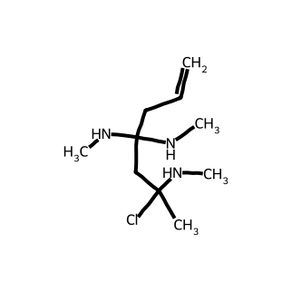 C=CCC(CC(C)(Cl)NC)(NC)NC